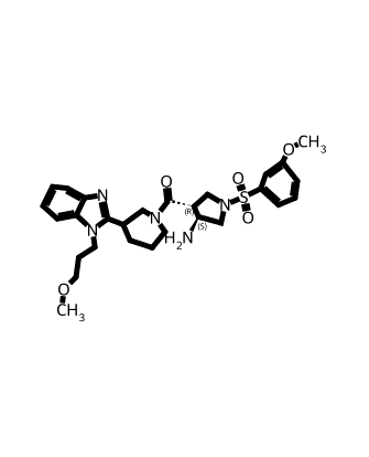 COCCCn1c(C2CCCN(C(=O)[C@@H]3CN(S(=O)(=O)c4cccc(OC)c4)C[C@H]3N)C2)nc2ccccc21